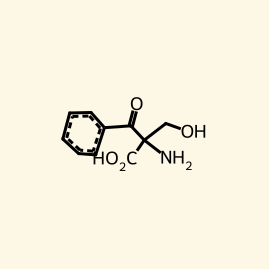 NC(CO)(C(=O)O)C(=O)c1ccccc1